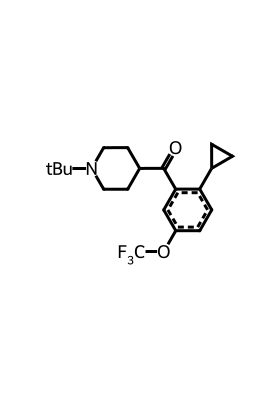 CC(C)(C)N1CCC(C(=O)c2cc(OC(F)(F)F)ccc2C2CC2)CC1